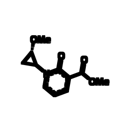 COC(=O)c1cccn(C2C[C@@H]2OC)c1=O